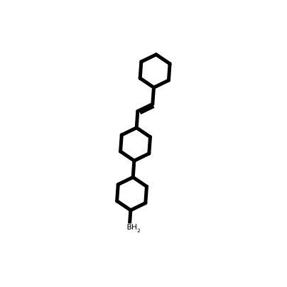 BC1CCC(C2CCC(C=CC3CCCCC3)CC2)CC1